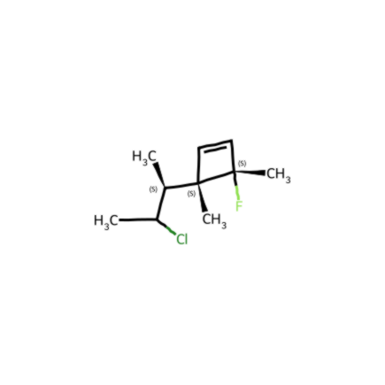 CC(Cl)[C@@H](C)[C@]1(C)C=C[C@]1(C)F